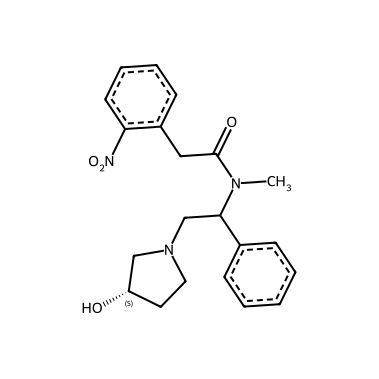 CN(C(=O)Cc1ccccc1[N+](=O)[O-])C(CN1CC[C@H](O)C1)c1ccccc1